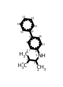 CC(C)C(C)Nc1ccc(-c2ccccc2)cc1